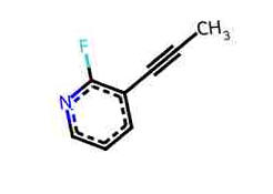 CC#Cc1cccnc1F